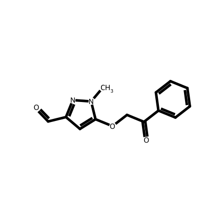 Cn1nc(C=O)cc1OCC(=O)c1ccccc1